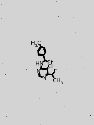 CCC(Nc1ncnc(C(C)F)c1Cl)c1ccc(C)cc1